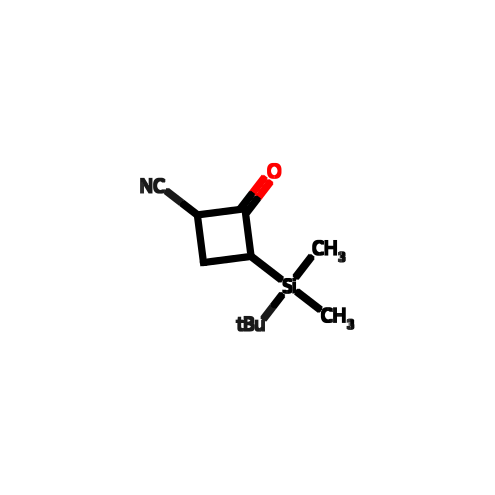 CC(C)(C)[Si](C)(C)C1CC(C#N)C1=O